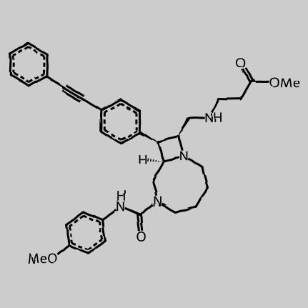 COC(=O)CCNC[C@@H]1[C@H](c2ccc(C#Cc3ccccc3)cc2)[C@@H]2CN(C(=O)Nc3ccc(OC)cc3)CCCCN12